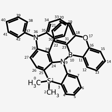 CS1(C)c2ccccc2N(B2c3ccccc3Oc3ccccc32)c2c1ccc1c2c2ccccc2n1-c1ccccc1